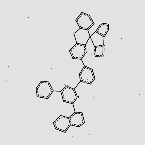 c1ccc(-c2cc(-c3cccc4ccccc34)nc(-c3cccc(-c4ccc5c(c4)C4(c6ccccc6O5)c5ccccc5-c5ccccc54)c3)n2)cc1